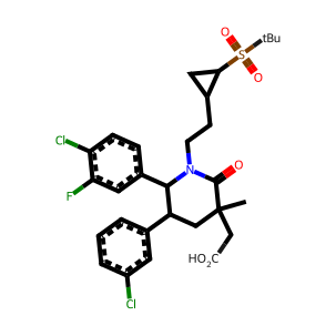 CC1(CC(=O)O)CC(c2cccc(Cl)c2)C(c2ccc(Cl)c(F)c2)N(CCC2CC2S(=O)(=O)C(C)(C)C)C1=O